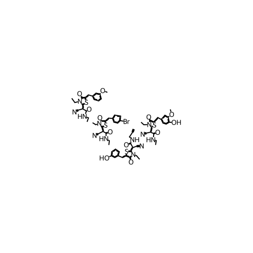 C#CCNC(=O)/C(C#N)=c1\s/c(=C\c2cccc(O)c2)c(=O)n1CC.CCNC(=O)/C(C#N)=c1\s/c(=C\c2ccc(Br)cc2)c(=O)n1CC.CCNC(=O)/C(C#N)=c1\s/c(=C\c2ccc(O)c(OC)c2)c(=O)n1CC.CCNC(=O)/C(C#N)=c1\s/c(=C\c2cccc(OC)c2)c(=O)n1CC